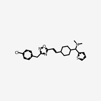 CN(C)C(c1cccs1)C1CCC(C=Cc2nc(Cc3ccc(Cl)cc3)no2)CC1